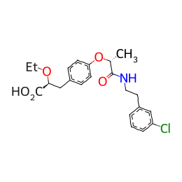 CCO[C@@H](Cc1ccc(O[C@H](C)C(=O)NCCc2cccc(Cl)c2)cc1)C(=O)O